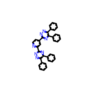 c1ccc(-c2nnc(-c3ccnc(-c4nnc(-c5ccccc5)c(-c5ccccc5)n4)c3)nc2-c2ccccc2)cc1